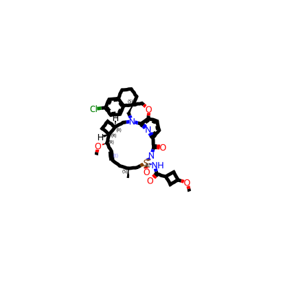 COC1CC(C(=O)N[S@@]2(=O)=NC(=O)c3ccc4c(n3)N(C[C@@H]3CC[C@H]3[C@@H](OC)/C=C/C[C@H](C)C2)C[C@@]2(CCCc3cc(Cl)ccc32)CO4)C1